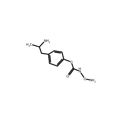 CC(N)Cc1ccc(OC(=O)NON)cc1